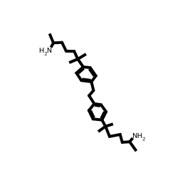 CC(N)CCCC(C)(C)c1ccc(CCc2ccc(C(C)(C)CCCC(C)N)cc2)cc1